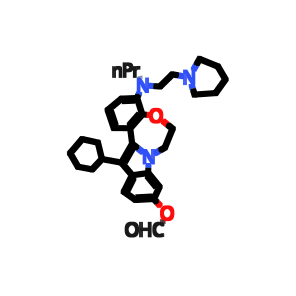 CCCN(CCN1CCCCC1)c1cccc2c1OCCn1c-2c(C2CCCCC2)c2ccc(OC=O)cc21